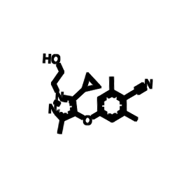 Cc1cc(Oc2c(C)nn(CCO)c2C2CC2)cc(C)c1C#N